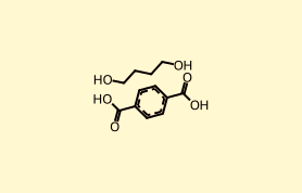 O=C(O)c1ccc(C(=O)O)cc1.OCCCCO